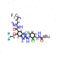 C=N/C(=C\C=C(/C)C(F)(F)F)NC(=O)c1cc2nc(Nc3c(Cl)ccc(CNC(=O)C(C)(C)C)c3Cl)n(C)c2cc1OCC(F)F